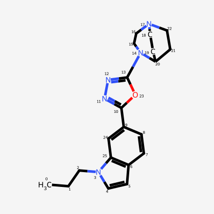 CCCn1ccc2ccc(-c3nnc(N4CCN5CCC4CC5)o3)cc21